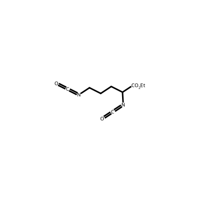 CCOC(=O)C(CCCN=C=O)N=C=O